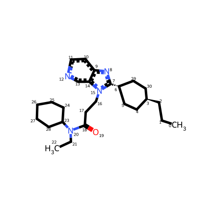 CCC[C@H]1CC[C@H](c2nc3ccncc3n2CCC(=O)N(CC)C2CCCCC2)CC1